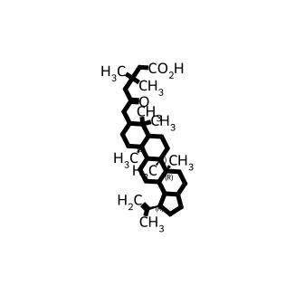 C=C(C)[C@@H]1CCC2CC[C@]3(C)C(CCC4[C@@]5(C)CCC(CC(=O)CC(C)(C)CC(=O)O)C(C)(C)C5CC[C@]43C)C21